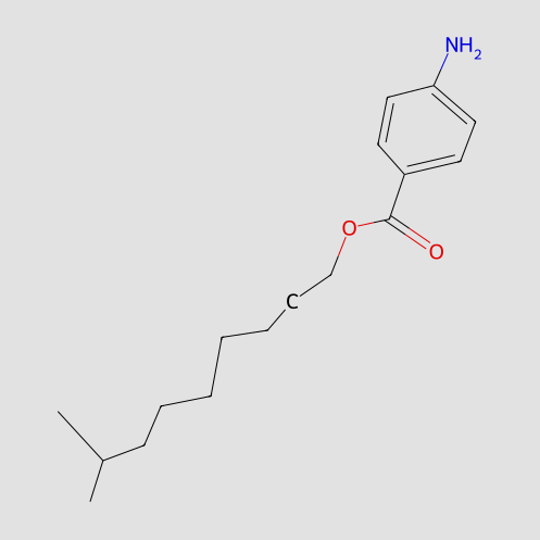 CC(C)CCCCCCCOC(=O)c1ccc(N)cc1